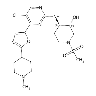 CN1CCC(c2ncc(-c3nc(N[C@@H]4CCN(S(C)(=O)=O)C[C@H]4O)ncc3Cl)o2)CC1